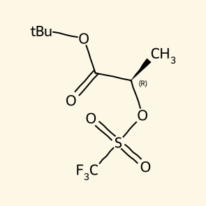 C[C@@H](OS(=O)(=O)C(F)(F)F)C(=O)OC(C)(C)C